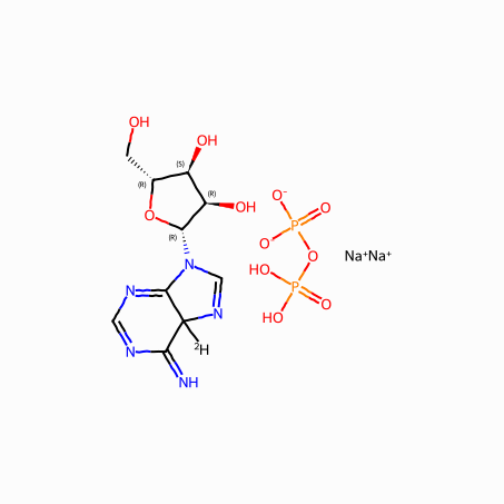 O=P([O-])([O-])OP(=O)(O)O.[2H]C12N=CN([C@@H]3O[C@H](CO)[C@@H](O)[C@H]3O)C1=NC=NC2=N.[Na+].[Na+]